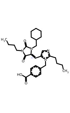 CCCCc1ncc(/C=C2/C(=O)N(CCCC)C(=O)N2CC2CCCCC2)n1Cc1ccc(C(=O)O)cc1